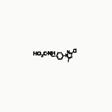 Cc1cc(Cl)nn1-c1ccc(CNC(=O)O)cc1